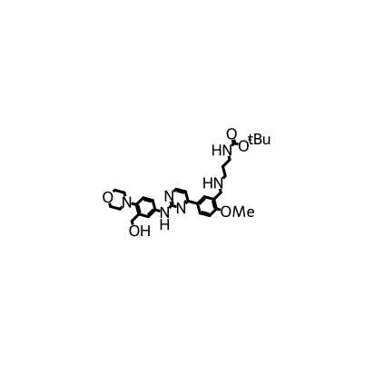 COc1ccc(-c2ccnc(Nc3ccc(N4CCOCC4)c(CO)c3)n2)cc1CNCCCNC(=O)OC(C)(C)C